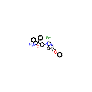 CC1=[N+](CCCOc2ccccc2)CCN1C1CCC(C(C(N)=O)(c2ccccc2)c2ccccc2)C1.[Br-]